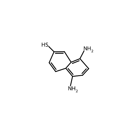 Nc1ccc(N)c2cc(S)ccc12